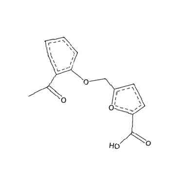 CC(=O)c1ccccc1OCc1ccc(C(=O)O)o1